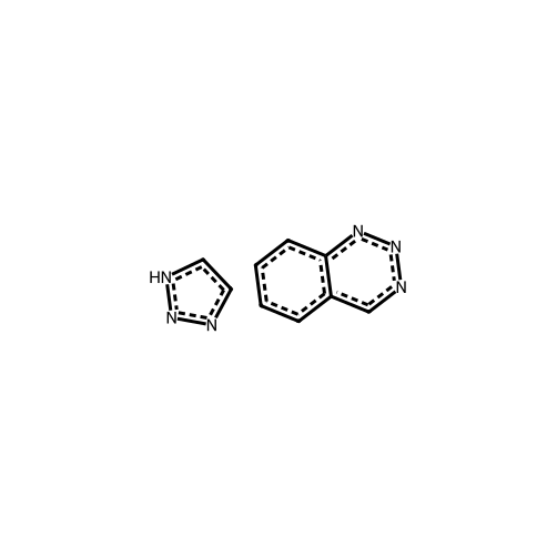 c1c[nH]nn1.c1ccc2nnncc2c1